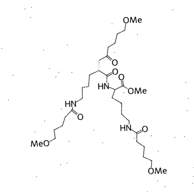 COCCCCC(=O)C[C@@H](CCCCNC(=O)CCCCOC)C(=O)NC(CCCCNC(=O)CCCCOC)C(=O)OC